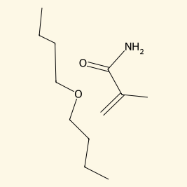 C=C(C)C(N)=O.CCCCOCCCC